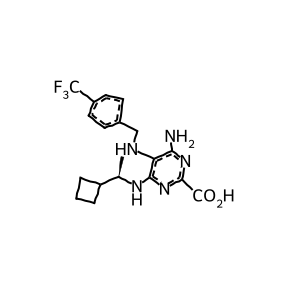 C[C@@H](Nc1nc(C(=O)O)nc(N)c1NCc1ccc(C(F)(F)F)cc1)C1CCC1